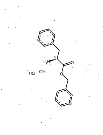 Cl.Cl.N[C@@H](Cc1ccccc1)C(=O)OCc1cccnc1